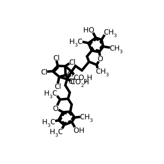 Cc1c(C)c2c(c(C)c1O)CC(CCC1(C(=O)O)C3(Cl)C(Cl)=C(Cl)C(Cl)(C3(Cl)Cl)C1(CCC1Cc3c(C)c(O)c(C)c(C)c3OC1C)C(=O)O)C(C)O2